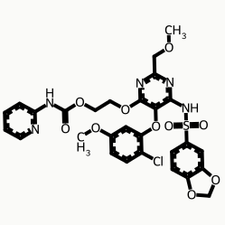 COCc1nc(NS(=O)(=O)c2ccc3c(c2)OCO3)c(Oc2cc(OC)ccc2Cl)c(OCCOC(=O)Nc2ccccn2)n1